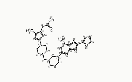 Cc1sc(N2CCN(CC3CCCN(c4nc(N)n5nc(-c6ccco6)nc5n4)C3)CC2)nc1CC(=O)O